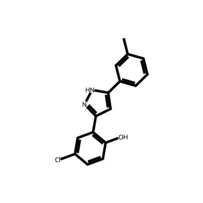 Cc1cccc(-c2cc(-c3cc(Cl)ccc3O)n[nH]2)c1